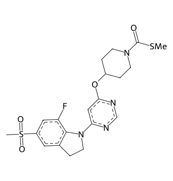 CSC(=O)N1CCC(Oc2cc(N3CCc4cc(S(C)(=O)=O)cc(F)c43)ncn2)CC1